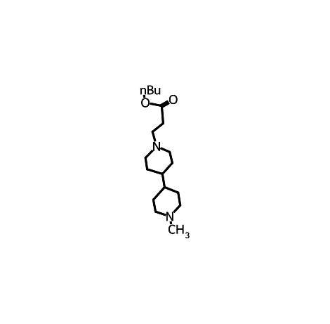 CCCCOC(=O)CCN1CCC(C2CCN(C)CC2)CC1